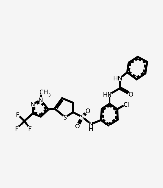 Cn1nc(C(F)(F)F)cc1C1=CCC(S(=O)(=O)Nc2ccc(Cl)c(NC(=O)Nc3ccccc3)c2)S1